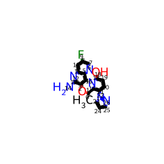 CC(Oc1cc2ncc(F)cc2nc1N)c1nc(O)ccc1-n1cccn1